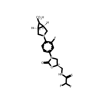 O=C(O)C1[C@H]2CN(c3ccc(N4C[C@@H](CNC(=S)C(F)F)OC4=O)cc3F)C[C@@H]12